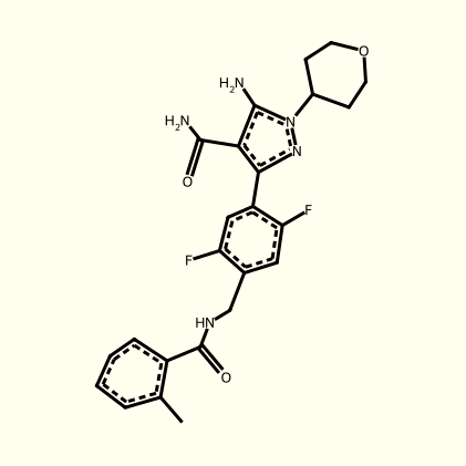 Cc1ccccc1C(=O)NCc1cc(F)c(-c2nn(C3CCOCC3)c(N)c2C(N)=O)cc1F